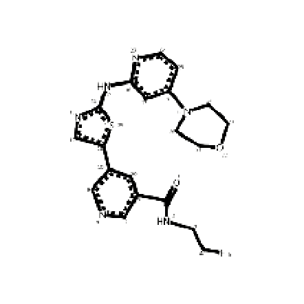 O=C(NCCF)c1cncc(-c2cnc(Nc3cc(N4CCOCC4)ccn3)s2)c1